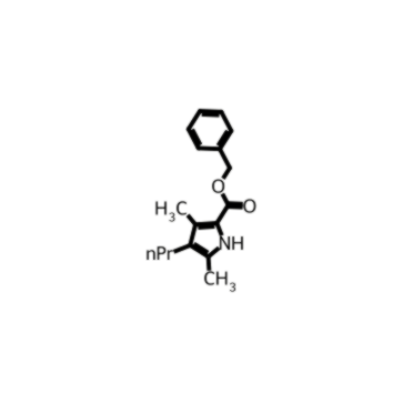 CCCc1c(C)[nH]c(C(=O)OCc2ccccc2)c1C